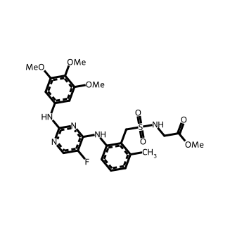 COC(=O)CNS(=O)(=O)Cc1c(C)cccc1Nc1nc(Nc2cc(OC)c(OC)c(OC)c2)ncc1F